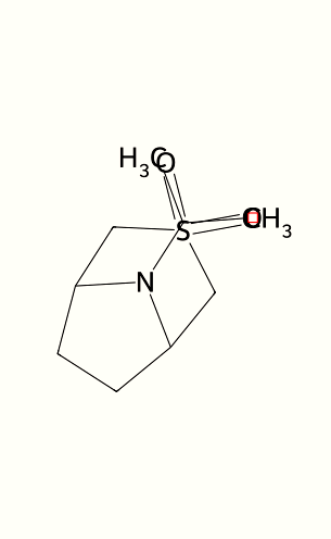 CC(C)N1C2CCC1CS(=O)(=O)C2